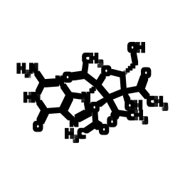 CC(=O)O[C@]1(C(C)=O)[C@@](O)(C(C)=O)[C@@H](CO)O[C@@]1(C(C)=O)n1cnc2c(=O)[nH]c(N)nc21